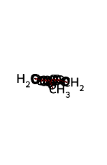 C=CC(=O)OCCCCCCOc1ccc(OC(=O)C2CCC(OC(=O)c3ccc4c(c3)nc(Oc3ccc(OCCCCCC)cc3)c3cc(C(=O)OC5CCC(C(=O)Oc6ccc(OCCCCCCOC(=O)C=C)cc6)CC5)ccc34)CC2)cc1